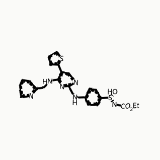 CCOC(=O)/N=[SH](=O)/c1ccc(Nc2ncc(-c3cccs3)c(NCc3ccccn3)n2)cc1